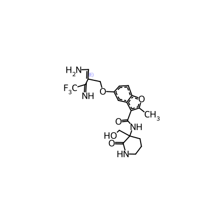 Cc1oc2ccc(OC/C(=C/N)C(=N)C(F)(F)F)cc2c1C(=O)NC1(CO)CCCNC1=O